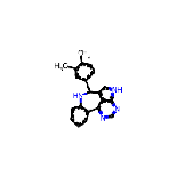 Cc1ccc(C2Nc3ccccc3-c3ncnc4[nH]cc2c34)cc1C